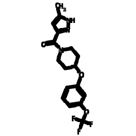 Cc1cc(C(=O)N2CCC(Oc3cccc(OC(F)(F)F)c3)CC2)n[nH]1